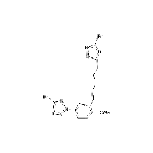 COc1ccc(-n2nnc(C(C)C)n2)cc1/C=C/CCCc1nnc(C(C)C)o1